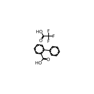 O=C(O)C(F)(F)F.O=C(O)c1ccccc1-c1ccccc1